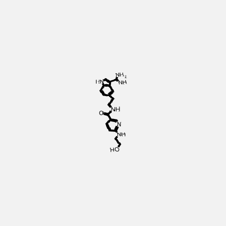 N=C(N)c1c[nH]c2ccc(CCNC(=O)c3ccc(NCCO)nc3)cc12